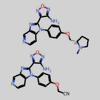 CN1CCC[C@H]1COc1ccc(-n2c(-c3nonc3N)nc3cnccc32)cc1.N#CCOc1ccc(-n2c(-c3nonc3N)nc3cnccc32)cc1